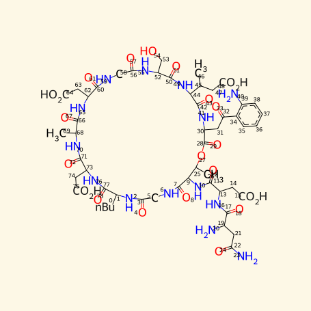 CCCCC1NC(=O)CNC(=O)C(NC(=O)C(CC(=O)O)NC(=O)C(N)CC(N)=O)C(C)OC(=O)C(CC(=O)c2ccccc2N)NC(=O)C(C(C)CC(=O)O)NC(=O)C(CO)NC(=O)CNC(=O)C(CC(=O)O)NC(=O)C(C)NC(=O)C(CC(=O)O)NC1=O